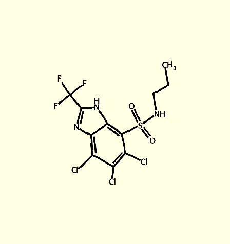 CCCNS(=O)(=O)c1c(Cl)c(Cl)c(Cl)c2nc(C(F)(F)F)[nH]c12